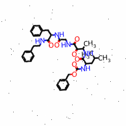 CC(C)CC(NC(=O)OCc1ccccc1)C(=O)NC(C)C(=O)C(=O)NCC(=O)NC(Cc1ccccc1)C(=O)NCCc1ccccc1